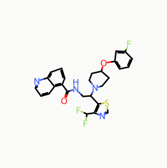 O=C(NCC(c1scnc1C(F)F)N1CCC(Oc2cccc(F)c2)CC1)c1cccc2ncccc12